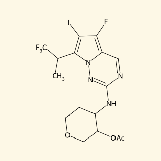 CC(=O)OC1COCCC1Nc1ncc2c(F)c(I)c(C(C)C(F)(F)F)n2n1